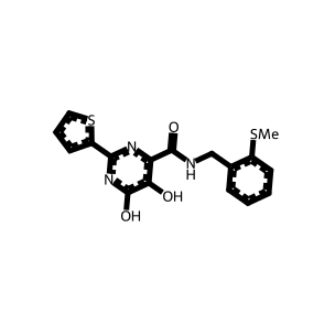 CSc1ccccc1CNC(=O)c1nc(-c2cccs2)nc(O)c1O